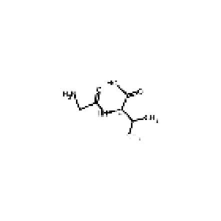 CC(C)[C@@H](NC(=O)CN)C(=O)O